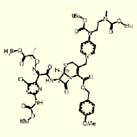 BOC(=O)[C@H](C)O/N=C(\C(=O)N[C@@H]1C(=O)N2C(C(=O)OCc3ccc(OC)cc3)=C(C[n+]3ccc(N(CCN(C)C(=O)OC(C)(C)C)C(=O)OC(C)(C)C)cc3)CS[C@H]12)c1nc(NC(=O)OC(C)(C)C)sc1Cl